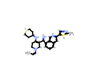 C/C=C\N1CCC(NC2CCSCC2)=C(C(=N)c2cccc3cc(-c4cnc(C)s4)ncc23)C1